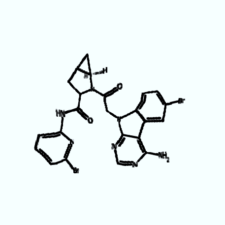 Nc1ncnc2c1c1cc(Br)ccc1n2CC(=O)N1C(C(=O)Nc2cccc(Br)n2)CC2C[C@H]21